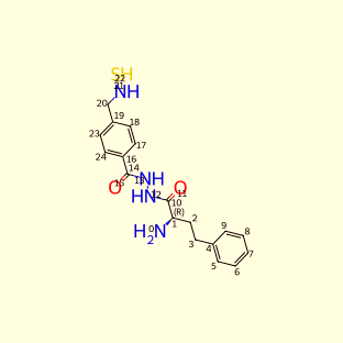 N[C@H](CCc1ccccc1)C(=O)NNC(=O)c1ccc(CNS)cc1